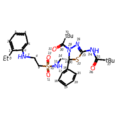 CCc1ccccc1NCCS(=O)(=O)NC[C@@]1(c2ccccc2)SC(NC(=O)C(C)(C)C)=NN1C(=O)C(C)(C)C